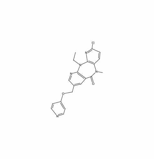 CCN1c2ncc(COc3ccncc3)cc2C(=O)N(C)c2ccc(Cl)nc21